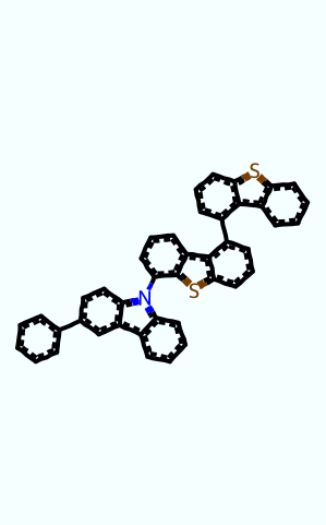 c1ccc(-c2ccc3c(c2)c2ccccc2n3-c2cccc3c2sc2cccc(-c4cccc5sc6ccccc6c45)c23)cc1